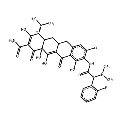 CN(C)C(C(=O)Nc1c(Cl)cc2c(c1O)C(=O)C1=C(O)C3(O)C(=O)C(C(N)=O)=C(O)[C@@H](N(C)C)C3CC1C2)c1ccccc1F